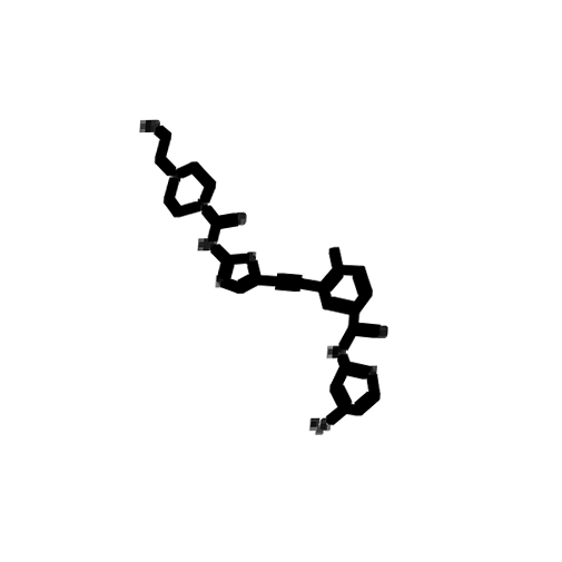 Cc1ccc(C(=O)Nc2cc(C(F)(F)F)ccn2)cc1C#Cc1cnc(NC(=O)N2CCN(CCO)CC2)s1